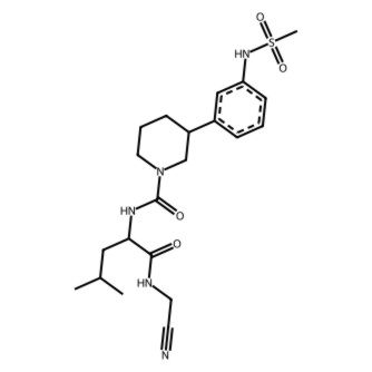 CC(C)CC(NC(=O)N1CCCC(c2cccc(NS(C)(=O)=O)c2)C1)C(=O)NCC#N